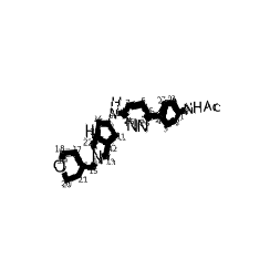 CC(=O)Nc1ccc(-c2ccc(N[C@@H]3CC4CN(CC5CCOCC5)C[C@H]4C3)nn2)cc1